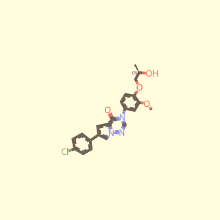 COc1cc(-n2cnn3cc(-c4ccc(Cl)cc4)cc3c2=O)ccc1OC[C@@H](C)O